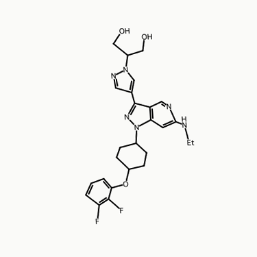 CCNc1cc2c(cn1)c(-c1cnn(C(CO)CO)c1)nn2C1CCC(Oc2cccc(F)c2F)CC1